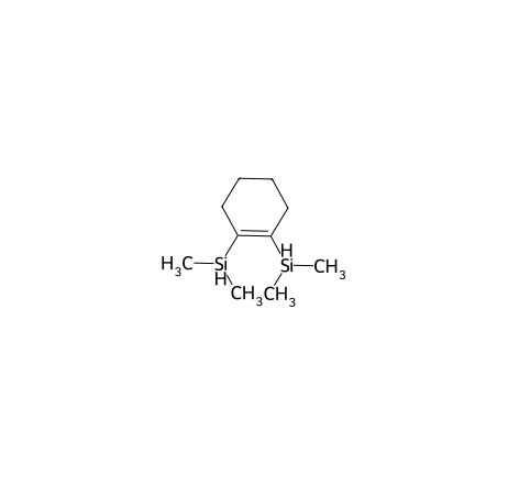 C[SiH](C)C1=C([SiH](C)C)CCCC1